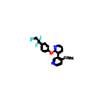 COc1ccncc1-c1cccnc1Oc1ccc(C(F)(F)CF)cc1